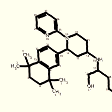 CC1(C)CCC(C)(C)c2cc(C3CC(NC(CO)CCCO)CCN3c3ccccn3)ccc21